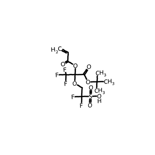 C=CC(=O)OC(OCC(F)(F)S(=O)(=O)O)(C(=O)OC(C)(C)C)C(F)(F)F